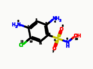 Nc1cc(N)c(S(=O)(=O)NO)cc1Cl